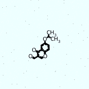 CC(C)Oc1ccc2occ(C=O)c(=O)c2c1